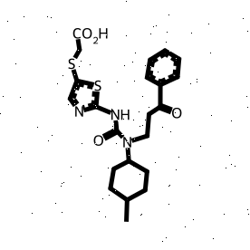 CC1CCC(N(CCC(=O)c2ccccc2)C(=O)Nc2ncc(SCC(=O)O)s2)CC1